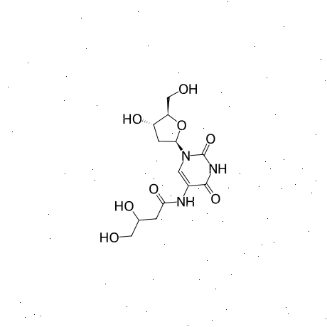 O=C(CC(O)CO)Nc1cn([C@H]2C[C@H](O)[C@@H](CO)O2)c(=O)[nH]c1=O